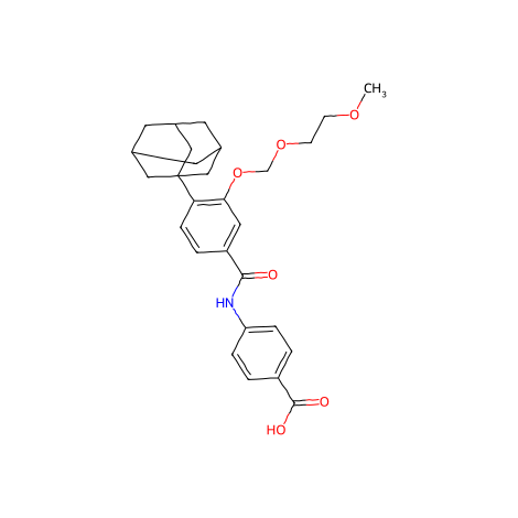 COCCOCOc1cc(C(=O)Nc2ccc(C(=O)O)cc2)ccc1C12CC3CC(CC(C3)C1)C2